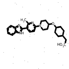 Cc1nc(N2CCC(OC3CCC(CC(=O)O)CC3)CC2)ccc1-c1nc2ccccc2[nH]1